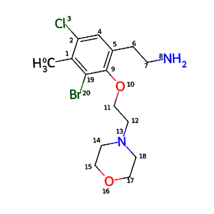 Cc1c(Cl)cc(CCN)c(OCCN2CCOCC2)c1Br